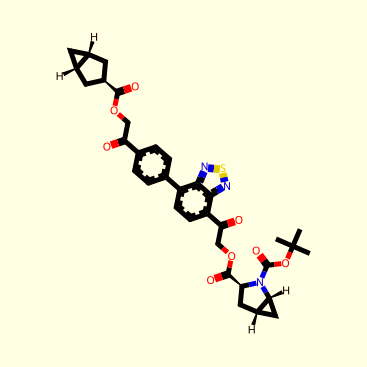 CC(C)(C)OC(=O)N1[C@@H]2C[C@@H]2C[C@H]1C(=O)OCC(=O)c1ccc(-c2ccc(C(=O)COC(=O)[C@H]3C[C@@H]4C[C@@H]4C3)cc2)c2nsnc12